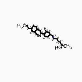 C=CCc1ccc2cc(-c3ccc(/C=C/CCCC(C)O)cc3F)ncc2c1